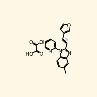 Cc1ccc2c(c1)nc(/C=C/c1ccoc1)n2-c1ccccn1.O=C(O)C(=O)O